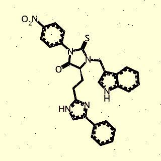 O=C1[C@H](CCc2nc(-c3ccccc3)c[nH]2)N(Cc2c[nH]c3ccccc23)C(=S)N1c1ccc([N+](=O)[O-])cc1